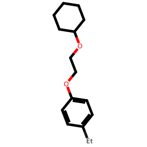 CCc1ccc(OCCOC2CCCCC2)cc1